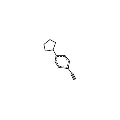 C#Cc1ccc(C2CCCC2)cc1